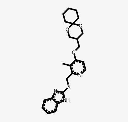 Cc1c(OCC2COC3(CCCCC3)OC2)ccnc1CSc1nc2ccccc2[nH]1